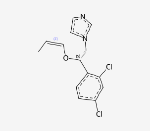 C/C=C\O[C@H](Cn1ccnc1)c1ccc(Cl)cc1Cl